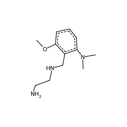 COc1cccc(N(C)C)c1CNCCN